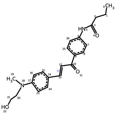 CCCC(=O)Nc1ccc(C(=O)/C=C/c2ccc(N(C)CCO)cc2)cc1